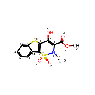 COC(=O)C1=C(O)c2sc3ccccc3c2S(=O)(=O)N1C